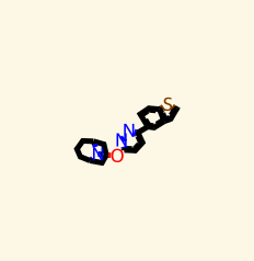 CN1C2CCCC1CC(Oc1ccc(-c3ccc4sccc4c3)nn1)C2